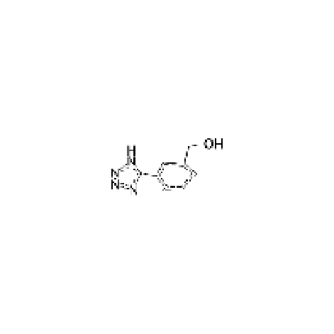 OCc1cc[c]c(-c2nnn[nH]2)c1